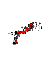 O=C(O)CN1CCN(CC(=O)O)CCN(CC(=O)N[C@@H](CSOOO)C(=O)NCCNS(=O)(=O)c2ccc(-c3ccc(S(=O)(=O)N[C@@H](CCC(=O)c4ccc5c(cnn5CCCNc5ncc[nH]5)c4)C(=O)O)cc3)cc2)CCN(CC(=O)O)CC1